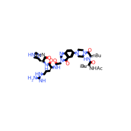 CCCC[C@H](NC(=O)[C@@H](NC(C)=O)[C@@H](C)CC)C(=O)N1CCN(c2ccc3ncn(CC(=O)N[C@@H](CCCNC(=N)N)C(=O)N[C@@H](Cc4c[nH]cn4)C(=O)NC)c(=O)c3c2)CC1